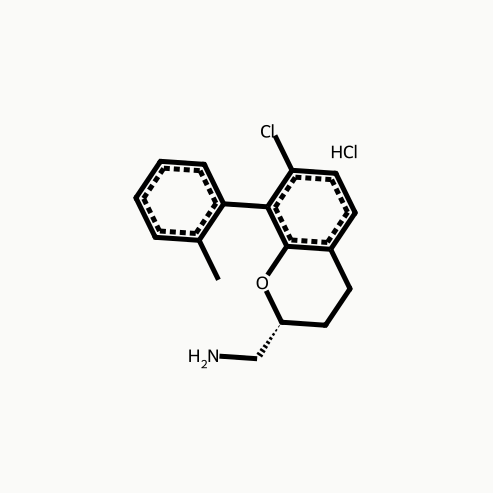 Cc1ccccc1-c1c(Cl)ccc2c1O[C@@H](CN)CC2.Cl